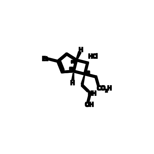 CCC1=C[C@H]2[C@H](C1)C[C@@]2(CNO)CC(=O)O.Cl